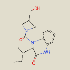 CCC(C)C1C(=O)Nc2ccccc2N1C(=O)N1CC(CO)C1